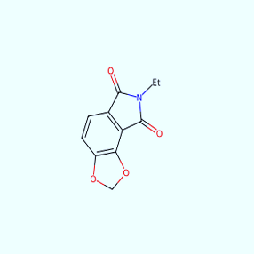 CCN1C(=O)c2ccc3c(c2C1=O)OCO3